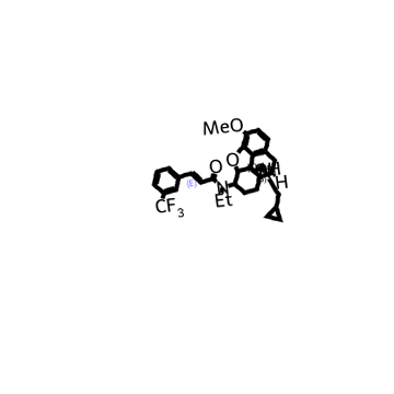 CCN(C(=O)/C=C/c1cccc(C(F)(F)F)c1)C1CC[C@@]2(O)[C@H]3Cc4ccc(OC)c5c4[C@@]2(CCN3CC2CC2)C1O5